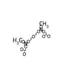 Cc1ccc(N(c2ccc(C=C(c3ccccc3)c3ccccc3)cc2)c2ccc(/C=C/c3ccc(/C=C/c4ccc(N(c5ccc(C)cc5)c5ccc(C=C(c6ccccc6)c6ccccc6)cc5)cc4)cc3)cc2)cc1